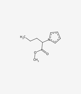 CCCC(C(=O)OC)n1cccc1